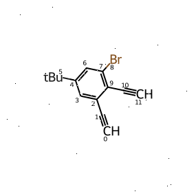 C#Cc1cc(C(C)(C)C)cc(Br)c1C#C